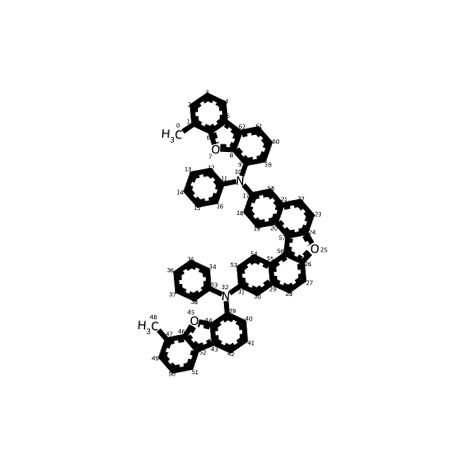 Cc1cccc2c1oc1c(N(c3ccccc3)c3ccc4c(ccc5oc6ccc7cc(N(c8ccccc8)c8cccc9c8oc8c(C)cccc89)ccc7c6c54)c3)cccc12